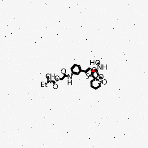 CCN(C)C(=O)OCC(=O)Nc1cccc(-c2ccc([C@@]3(CC(=O)NO)CCCCS3(=O)=O)s2)c1